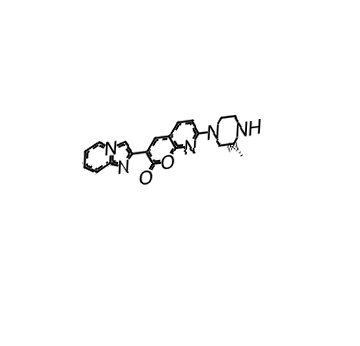 C[C@@H]1CN(c2ccc3cc(-c4cn5ccccc5n4)c(=O)oc3n2)CCN1